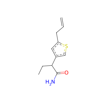 C=CCc1cc(C(CC)C(N)=O)cs1